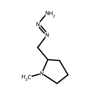 CN1CCCC1CN=NN